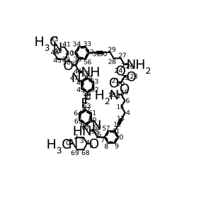 CN1CCC(OC(c2cccc(C#CCCCC(N)OC(=O)C(=O)OC(N)CCCC#Cc3cccc(C(OC4CCN(C)CC4)c4nc5cc(F)ccc5[nH]4)c3)c2)c2nc3cc(F)ccc3[nH]2)CC1